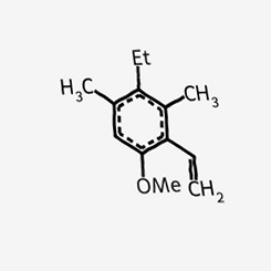 C=Cc1c(OC)cc(C)c(CC)c1C